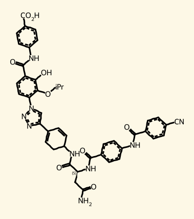 CC(C)Oc1c(-n2cc(C3=CCC(NC(=O)[C@H](CC(N)=O)NC(=O)c4ccc(NC(=O)c5ccc(C#N)cc5)cc4)C=C3)nn2)ccc(C(=O)Nc2ccc(C(=O)O)cc2)c1O